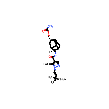 CC(=O)NC(C)(C)/C=C/n1ncc(C(=O)N[C@H]2C3CC4CC2C[C@](COC(N)=O)(C4)C3)c1OCC(C)C